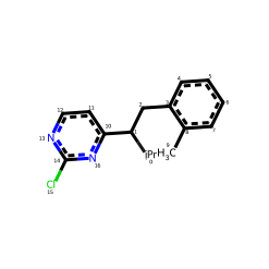 C[C](C)C(Cc1ccccc1C)c1ccnc(Cl)n1